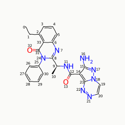 CCc1cccc2nc([C@H](C)NC(=O)c3c(N)nn4ccnnc34)n(-c3ccccc3)c(=O)c12